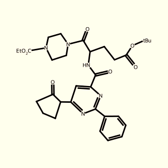 CCOC(=O)N1CCN(C(=O)C(CCC(=O)OC(C)(C)C)NC(=O)c2cc(C3CCCC3=O)nc(-c3ccccc3)n2)CC1